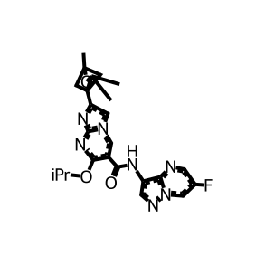 CC(C)Oc1nc2nc(C34CC(C)(C3)OC4(C)C)cn2cc1C(=O)Nc1cnn2cc(F)cnc12